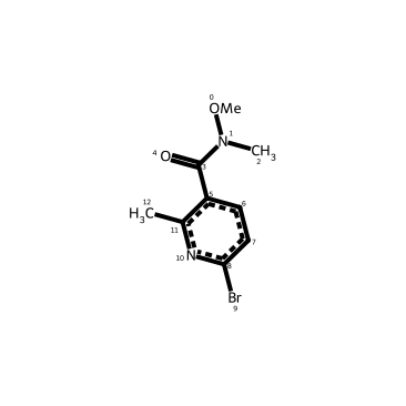 CON(C)C(=O)c1ccc(Br)nc1C